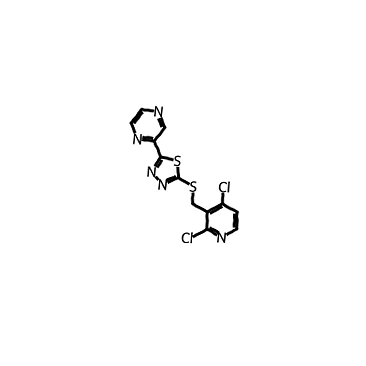 Clc1ccnc(Cl)c1CSc1nnc(-c2cnccn2)s1